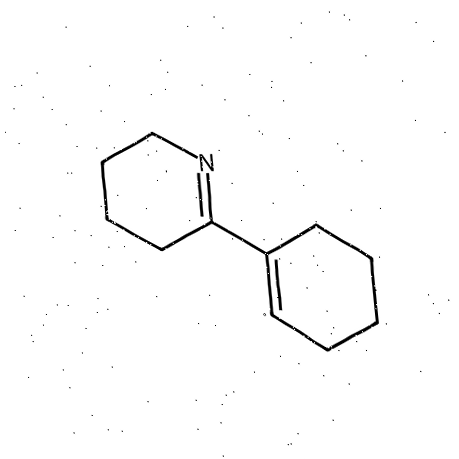 [C]1=C(C2=NCCCC2)CCCC1